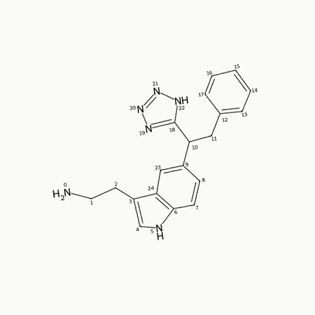 NCCc1c[nH]c2ccc(C(Cc3ccccc3)c3nnn[nH]3)cc12